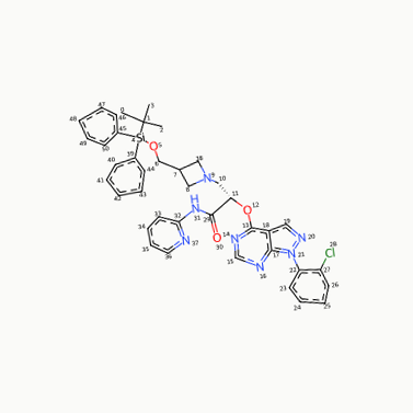 CC(C)(C)[Si](OCC1CN(C[C@H](Oc2ncnc3c2cnn3-c2ccccc2Cl)C(=O)Nc2ccccn2)C1)(c1ccccc1)c1ccccc1